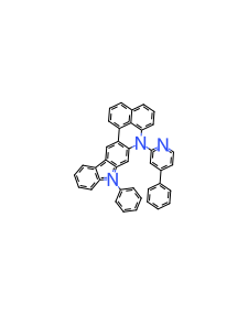 c1ccc(-c2ccnc(N3c4cc5c(cc4-c4cccc6cccc3c46)c3ccccc3n5-c3ccccc3)c2)cc1